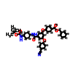 CC(C)(C)OC(=O)NC1CCC(NC(=O)c2cc(Oc3ccc(C#N)cc3)cc(Oc3ccc(C(=O)OCc4ccccc4)cc3)c2)CC1